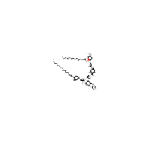 CCCCCCCCCCCCCCOc1ccc(OCC(=O)Nc2ccc(C[n+]3cscc3C)cc2)cc1Cl.CCCCCCCCCCCCCCOc1ccccc1OCC(=O)Nc1ccc(C[n+]2cscc2C)cc1.[Br-].[Br-]